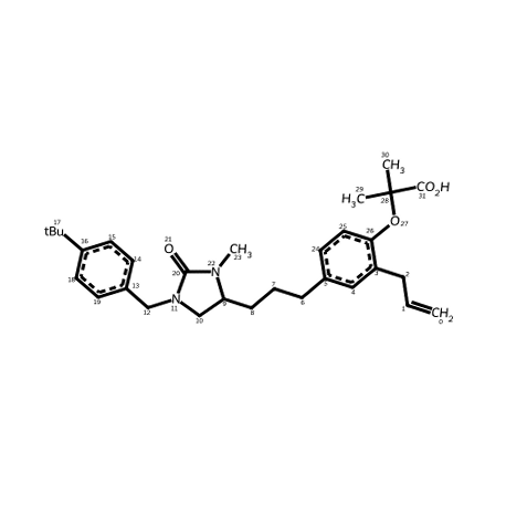 C=CCc1cc(CCCC2CN(Cc3ccc(C(C)(C)C)cc3)C(=O)N2C)ccc1OC(C)(C)C(=O)O